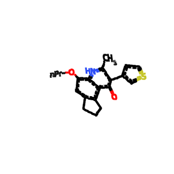 CCCOc1cc2c(c3c(=O)c(-c4ccsc4)c(C)[nH]c13)CCC2